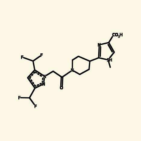 C[SH]1C=C(C(=O)O)N=C1C1CCN(C(=O)Cn2nc(C(F)F)cc2C(F)F)CC1